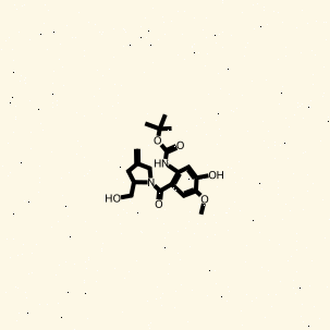 C=C1CC(CO)N(C(=O)c2cc(OC)c(O)cc2NC(=O)OC(C)(C)C)C1